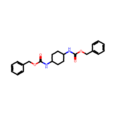 O=C(NC1CCC(NC(=O)OCc2ccccc2)CC1)OCc1ccccc1